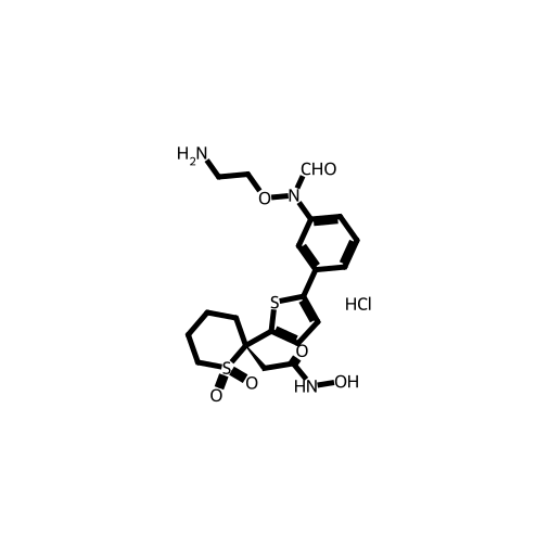 Cl.NCCON(C=O)c1cccc(-c2ccc([C@@]3(CC(=O)NO)CCCCS3(=O)=O)s2)c1